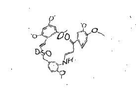 COc1cc(OC)c(/C=C/S(=O)(=O)Cc2ccc(OC)c(N/C=C/C(=O)c3ccc(OC)c(OC)c3)c2)c(OC)c1